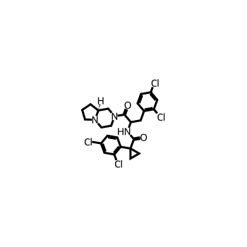 O=C(C(Cc1ccc(Cl)cc1Cl)NC(=O)C1(c2ccc(Cl)cc2Cl)CC1)N1CCN2CCC[C@H]2C1